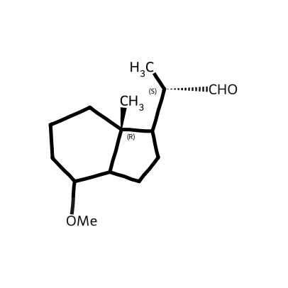 COC1CCC[C@@]2(C)C1CCC2[C@H](C)C=O